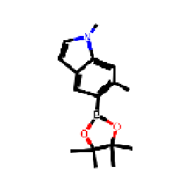 Cc1cc2c(ccn2C)cc1B1OC(C)(C)C(C)(C)O1